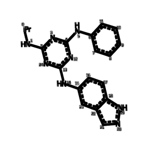 CC(C)Nc1nc(Nc2ccccc2)nc(Nc2ccc3[nH]ncc3c2)n1